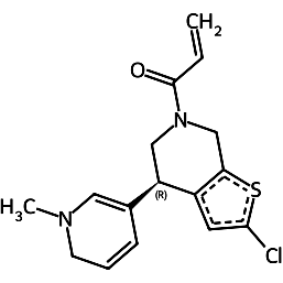 C=CC(=O)N1Cc2sc(Cl)cc2[C@@H](C2=CN(C)CC=C2)C1